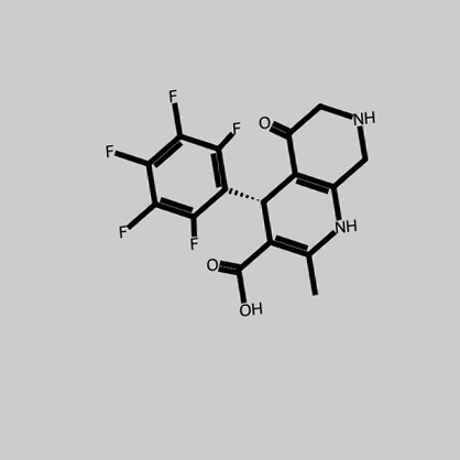 CC1=C(C(=O)O)[C@H](c2c(F)c(F)c(F)c(F)c2F)C2=C(CNCC2=O)N1